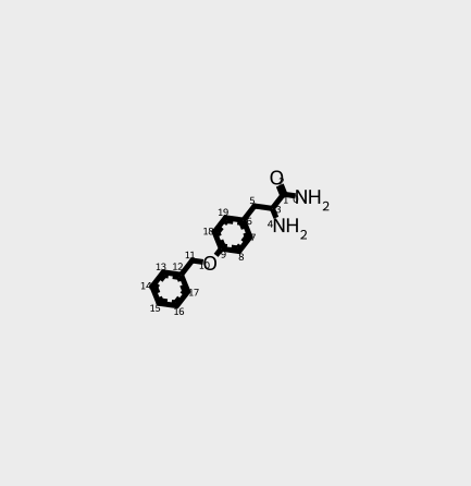 NC(=O)C(N)Cc1ccc(OCc2ccccc2)cc1